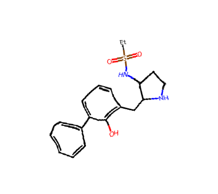 CCS(=O)(=O)NC1CCNC1Cc1cccc(-c2ccccc2)c1O